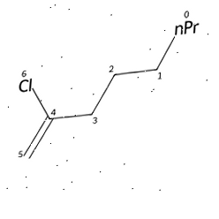 [CH2]CCCCCC(=C)Cl